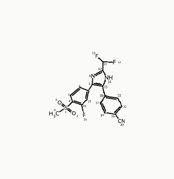 CS(=O)(=O)c1ccc(-c2nc(C(F)F)[nH]c2-c2ccc(C#N)cc2)cc1F